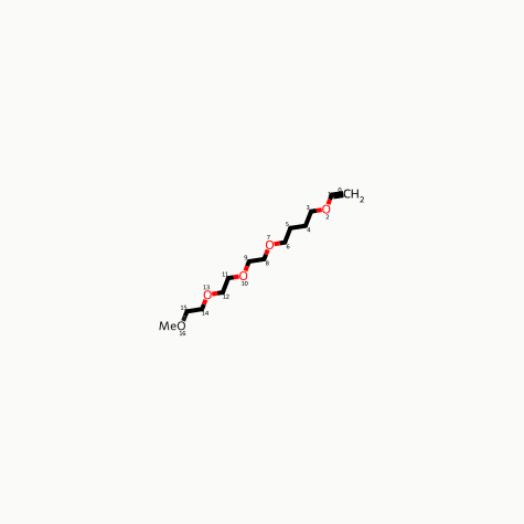 C=COCCCCOCCOCCOCCOC